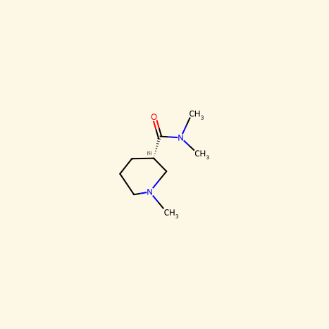 CN1CCC[C@H](C(=O)N(C)C)C1